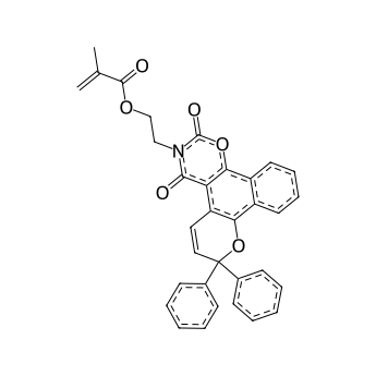 C=C(C)C(=O)OCCn1c(=O)oc2c(c3c(c4ccccc42)OC(c2ccccc2)(c2ccccc2)C=C3)c1=O